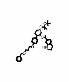 CC(OC1CN(OC(=O)OC(C)(C)C)CCC1c1ccc(OCCCOCc2ccccc2)cc1)c1ccc2c(c1)NCCC2